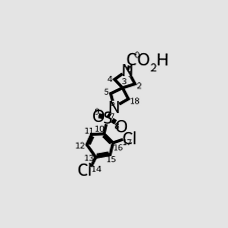 O=C(O)N1CC2(C1)CN(S(=O)(=O)c1ccc(Cl)cc1Cl)C2